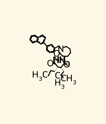 CCCC[C@H](C(N)=O)[C@@H](CC(C)C)C(=O)N[C@H]1CCCCN(Cc2cccc(-c3ccc4ccccc4c3)c2)C1=O